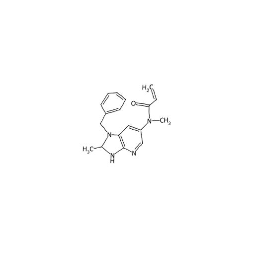 C=CC(=O)N(C)c1cnc2c(c1)N(Cc1ccccc1)C(C)N2